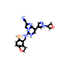 N#Cc1cn2c(NCc3c(P)ccc4c3CCO4)ncc(-c3cnn(C4COC4)c3)c2n1